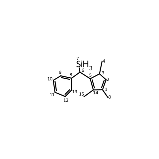 CC1=CC(C)C(C([SiH3])c2ccccc2)=C1C